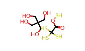 O=C(OS)C(S)(S)S.OCC(CO)(CO)CO